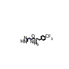 N/C(=C\c1c[nH]cn1)C(=O)NCCc1ccc(C(F)(F)F)cc1